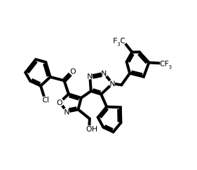 O=C(c1ccccc1Cl)c1onc(CO)c1-c1nnn(Cc2cc(C(F)(F)F)cc(C(F)(F)F)c2)c1-c1ccccc1